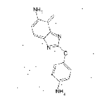 C=c1c(N)ccc2c1=NC(Oc1ccc(N)cc1)=N2